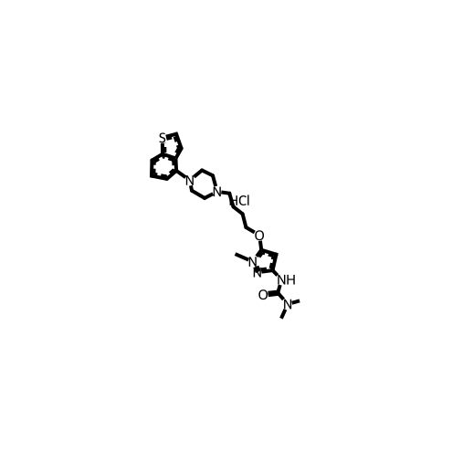 CN(C)C(=O)Nc1cc(OCCCCN2CCN(c3cccc4sccc34)CC2)n(C)n1.Cl